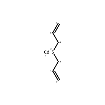 C=CCSCC=C.[Cd]